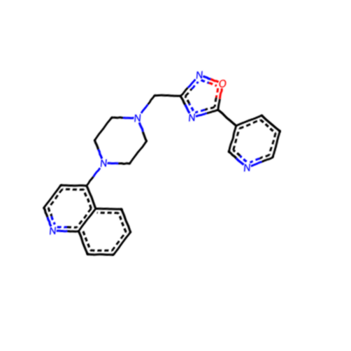 c1cncc(-c2nc(CN3CCN(c4ccnc5ccccc45)CC3)no2)c1